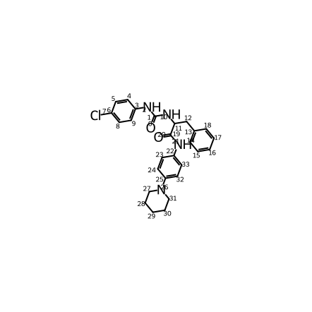 O=C(Nc1ccc(Cl)cc1)NC(Cc1ccccc1)C(=O)Nc1ccc(N2CCCCC2)cc1